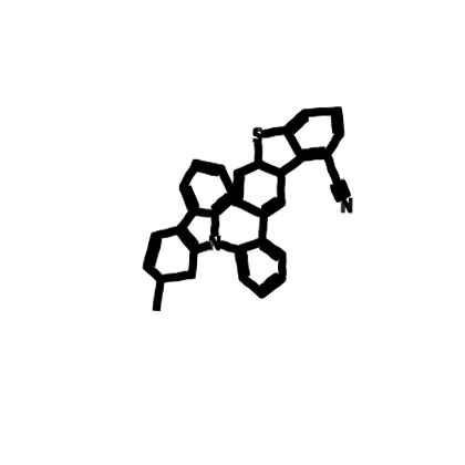 CC1C=Cc2c(n(-c3ccccc3C3=CC4c5c(C#N)cccc5SC4C=C3)c3ccccc23)C1